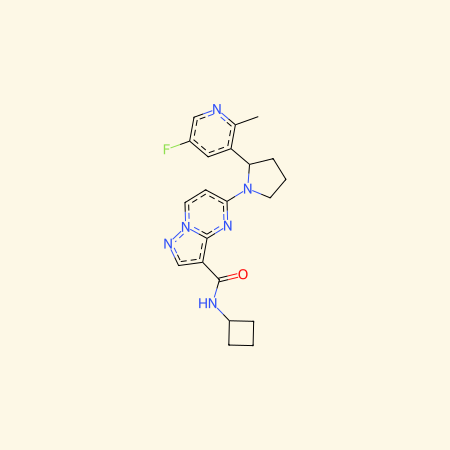 Cc1ncc(F)cc1C1CCCN1c1ccn2ncc(C(=O)NC3CCC3)c2n1